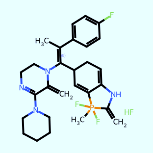 C=C1C(N2CCCCC2)=NCCN1/C(=C(\C)c1ccc(F)cc1)C1C=C2C(=CC1)NC(=C)P2(C)(F)F.F